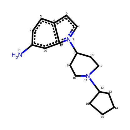 Nc1ccc2ccn(C3CCN(C4CCCC4)CC3)c2c1